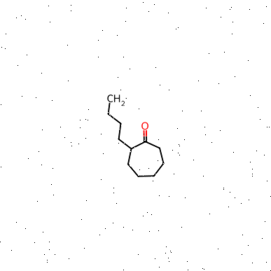 [CH2]CCCC1CCCCCC1=O